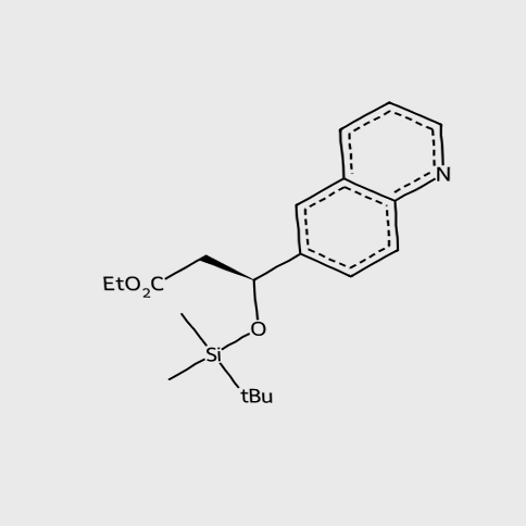 CCOC(=O)C[C@H](O[Si](C)(C)C(C)(C)C)c1ccc2ncccc2c1